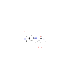 CCN(CCO)Cc1ccc2[nH]c(-c3cc(C(=O)O)c[nH]c3=O)cc2c1